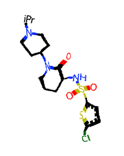 CC(C)N1CCC(N2CCC[C@H](NS(=O)(=O)c3ccc(Cl)s3)C2=O)CC1